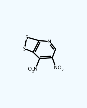 O=[N+]([O-])c1cnc2ssc2c1[N+](=O)[O-]